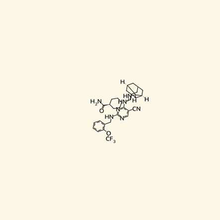 N#Cc1cnc(NCc2ccccc2OC(F)(F)F)nc1NC[C@]12CC3C[C@H](C1)[C@@H](NC[C@H]1CC[C@H](C(N)=O)CC1)[C@@H](C3)C2